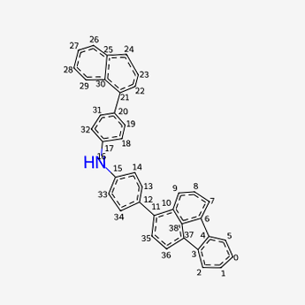 c1ccc2c(c1)-c1cccc3c(-c4ccc(Nc5ccc(-c6cccc7ccccc67)cc5)cc4)ccc-2c13